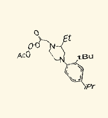 CCC1CN(c2ccc(C(C)C)cc2C(C)(C)C)CCN1CC(=O)OOOC(C)=O